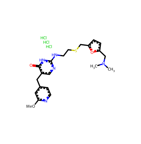 COc1cc(Cc2cnc(NCCSCc3ccc(CN(C)C)o3)[nH]c2=O)ccn1.Cl.Cl.Cl